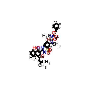 CC(C)CCC1(C)C(=O)C(C2=NS(=O)(=O)c3cc(N(C)S(=O)(=O)N(C)C(=O)OCc4ccccc4)ccc3N2)=C(O)c2ccccc21